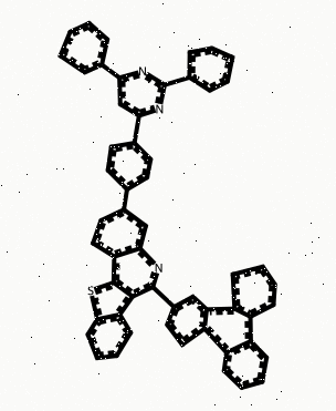 c1ccc(-c2cc(-c3ccc(-c4ccc5c(c4)nc(-c4ccc6c7ccccc7c7ccccc7c6c4)c4c6ccccc6sc54)cc3)nc(-c3ccccc3)n2)cc1